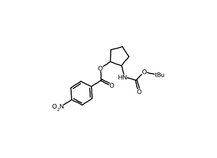 CC(C)(C)OC(=O)NC1CCCC1OC(=O)c1ccc([N+](=O)[O-])cc1